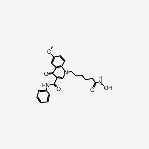 COc1ccc2c(c1)c(=O)c(C(=O)Nc1ccccc1)cn2CCCCCC(=O)NO